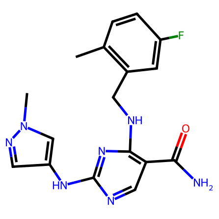 Cc1ccc(F)cc1CNc1nc(Nc2cnn(C)c2)ncc1C(N)=O